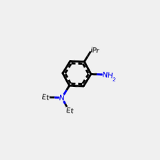 CCN(CC)c1ccc(C(C)C)c(N)c1